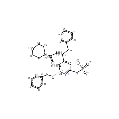 O=C(N[C@H](/C=C/CP(=O)(O)O)CCc1ccccc1)C(Cc1ccccc1)NC(=O)N1CCOCC1